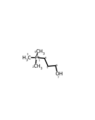 C[P+](C)(C)CCCO